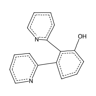 Oc1cccc(-c2ccccn2)c1-c1ccccn1